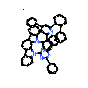 c1ccc(-c2cc(-c3ccccc3-c3ccccc3)nc(-c3ccccc3-n3c4ccccc4c4ccc5c6ccccc6n(-c6nc(-c7ccccc7)nc(-c7ccccc7)n6)c5c43)c2)cc1